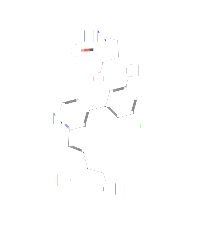 CCC(O)c1cc2nccc(-c3cc(Cl)cc(C)c3OC3CCNC3=O)c2s1